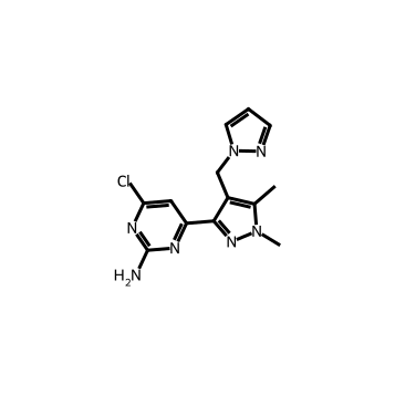 Cc1c(Cn2cccn2)c(-c2cc(Cl)nc(N)n2)nn1C